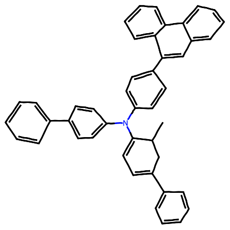 CC1CC(c2ccccc2)=CC=C1N(c1ccc(-c2ccccc2)cc1)c1ccc(-c2cc3ccccc3c3ccccc23)cc1